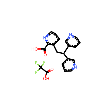 O=C(O)C(F)(F)F.O=C(O)c1ncccc1CC(c1cccnc1)c1cccnc1